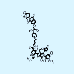 COc1ncc(C(=O)NCCCCN2CCC(NC(=O)COc3ccc4c(c3)C(=O)N(C3CCC(=O)NC3=O)C4=O)CC2)cc1-c1nc2c(n1C(C)C)[C@H](c1ccc(Cl)cc1)N(c1cc(Cl)cn(C)c1=O)C2=O